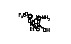 CCn1c(=O)n(CCCO)c(=O)c2c1nc(Oc1cccc(OC(F)(F)F)c1)n2Cc1ccc(N)cn1